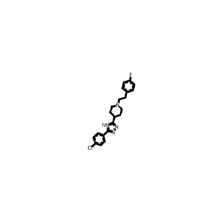 Fc1ccc(CCN2CCC(c3nnc(-c4ccc(Cl)cc4)[nH]3)CC2)cc1